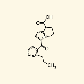 CCCc1ccccc1C(=O)c1ccc2n1CCCC2C(=O)O